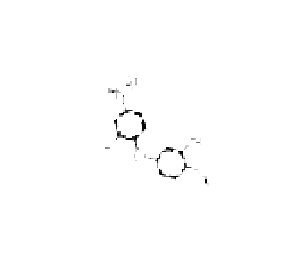 COc1ccc(Oc2ccc([N+](=O)[O-])cc2F)cc1Br